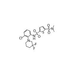 CN(C)S(=O)(=O)c1ccc(S(=O)(=O)Nc2cccc(Cl)c2N2CCCC(F)(F)C2)s1